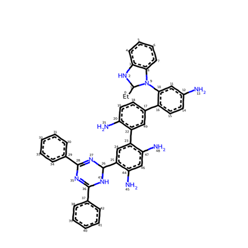 CCC1Nc2ccccc2N1c1cc(N)ccc1-c1ccc(N)c(-c2cc(C3N=C(c4ccccc4)N=C(c4ccccc4)N3)c(N)cc2N)c1